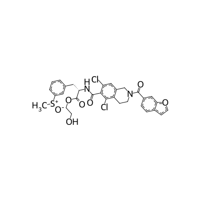 C[S+]([O-])c1cccc(C[C@H](NC(=O)c2c(Cl)cc3c(c2Cl)CCN(C(=O)c2ccc4ccoc4c2)C3)C(=O)OCCO)c1